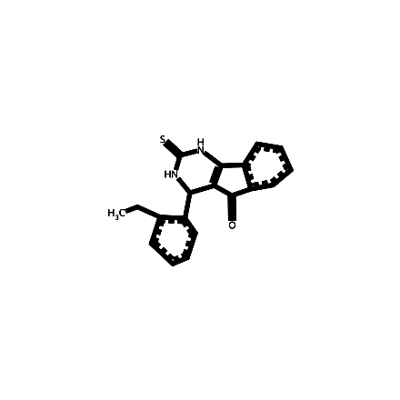 CCc1ccccc1C1NC(=S)NC2=C1C(=O)c1ccccc12